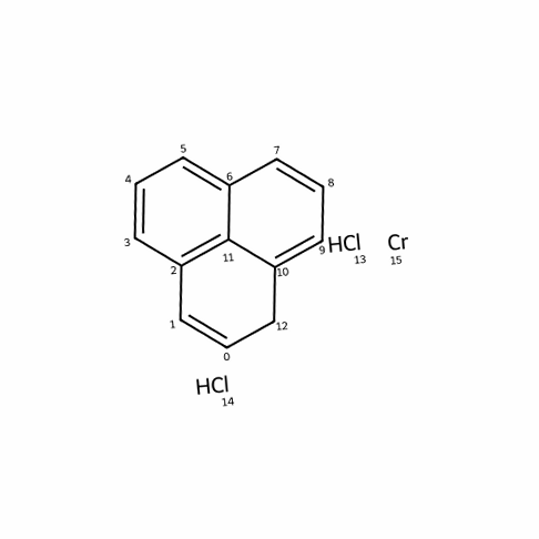 C1=Cc2cccc3cccc(c23)C1.Cl.Cl.[Cr]